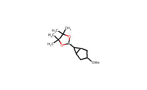 COC1CC2C(C1)C2B1OC(C)(C)C(C)(C)O1